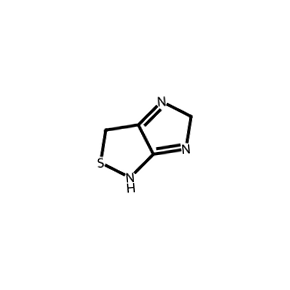 C1N=C2CSNC2=N1